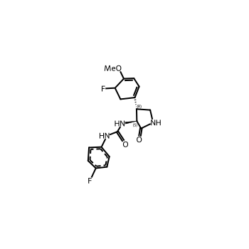 COC1=CC=C([C@@H]2CNC(=O)[C@H]2NC(=O)Nc2ccc(F)cc2)CC1F